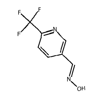 O/N=C/c1ccc(C(F)(F)F)nc1